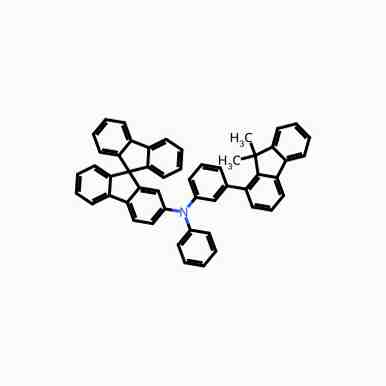 CC1(C)c2ccccc2-c2cccc(-c3cccc(N(c4ccccc4)c4ccc5c(c4)C4(c6ccccc6-c6ccccc64)c4ccccc4-5)c3)c21